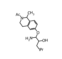 CC(=O)N1CCc2cc(OC(N)C(O)CC(C)C)ccc2C1C